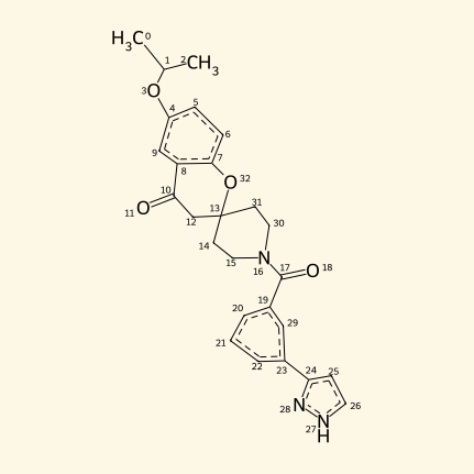 CC(C)Oc1ccc2c(c1)C(=O)CC1(CCN(C(=O)c3cccc(-c4cc[nH]n4)c3)CC1)O2